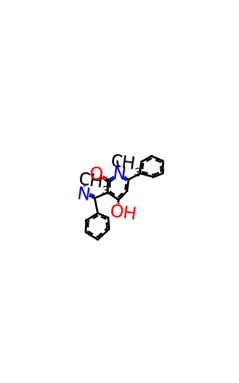 CN=C(c1ccccc1)c1c(O)cc(-c2ccccc2)n(C)c1=O